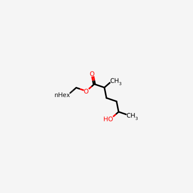 CCCCCCCOC(=O)C(C)CCC(C)O